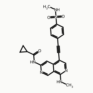 CNc1ncc(C#Cc2ccc(S(=O)(=O)NC)cc2)c2cc(NC(=O)C3CC3)ncc12